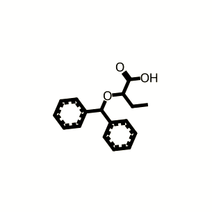 CCC(OC(c1ccccc1)c1ccccc1)C(=O)O